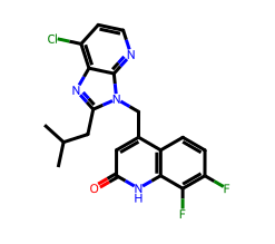 CC(C)Cc1nc2c(Cl)ccnc2n1Cc1cc(=O)[nH]c2c(F)c(F)ccc12